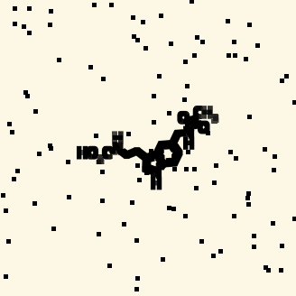 CS(=O)(=O)NCc1ccc2[nH]cc(CCNC(=O)O)c2c1